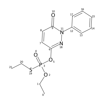 CCOP(=O)(Oc1ccc(=O)n(-c2ccccc2)n1)SCC